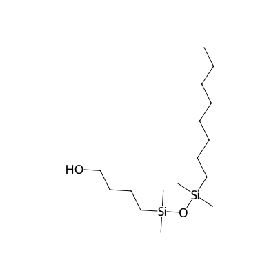 CCCCCCCC[Si](C)(C)O[Si](C)(C)CCCCO